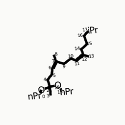 CCCOC(C)(CCC=C(C)CCC=C(C)CCCC(C)C)OCCC